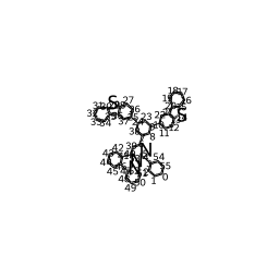 c1ccc(-c2nc(-c3cc(-c4ccc5sc6ccccc6c5c4)cc(-c4ccc5sc6ccccc6c5c4)c3)cc(-c3ccccc3-c3ccccn3)n2)cc1